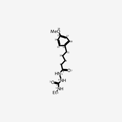 CCNC(=O)NNC(=O)CCCCc1ccc(OC)cc1